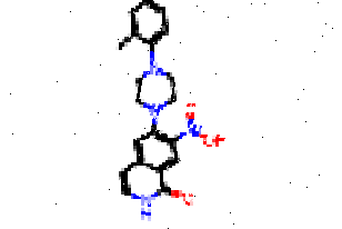 Cc1ccccc1N1CCN(c2cc3cc[nH]c(=O)c3cc2[N+](=O)O)CC1